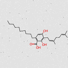 CCCCCCCCCCc1cc(O)c(CC=C(C)CCC=C(C)C)c(O)c1C(=O)O